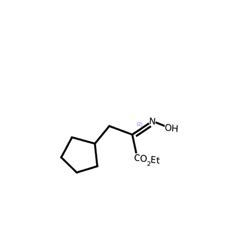 CCOC(=O)/C(CC1CCCC1)=N\O